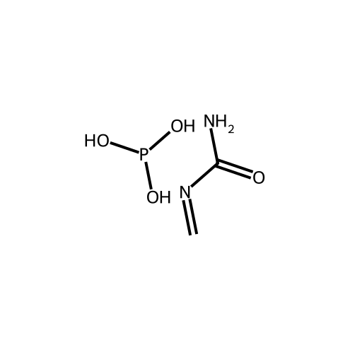 C=NC(N)=O.OP(O)O